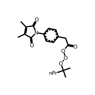 CCCC(C)(C)OOOC(=O)Cc1ccc(N2C(=O)C(C)=C(C)C2=O)cc1